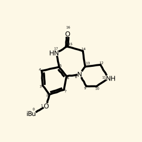 CCC(C)Oc1ccc2c(c1)N1CCNCC1CC(=O)N2